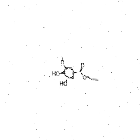 C=CCOC(=O)c1cc(O)c(O)c(OC)c1